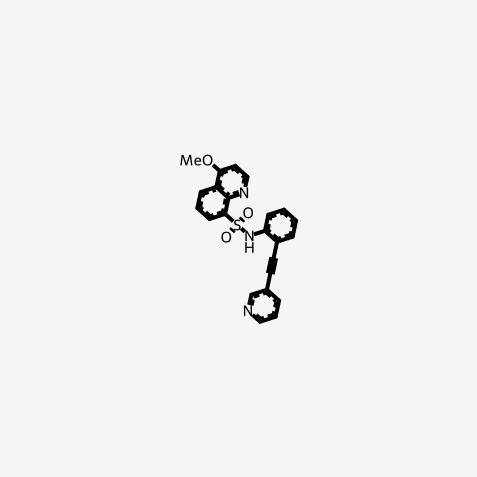 COc1ccnc2c(S(=O)(=O)Nc3ccccc3C#Cc3cccnc3)cccc12